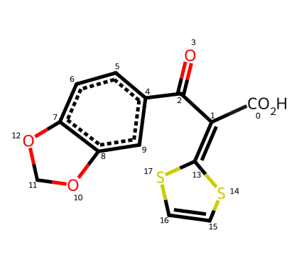 O=C(O)C(C(=O)c1ccc2c(c1)OCO2)=C1SC=CS1